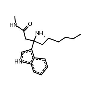 CCCCCCC(N)(CC(=O)NC)c1c[nH]c2ccccc12